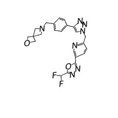 FC(F)c1nnc(-c2ccc(Cn3cc(-c4ccc(CN5CC6(COC6)C5)cc4)nn3)nc2)o1